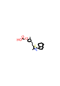 Cc1cc(CCc2sc(-c3cccc4ccccc34)nc2C)ccc1OCC(=O)O